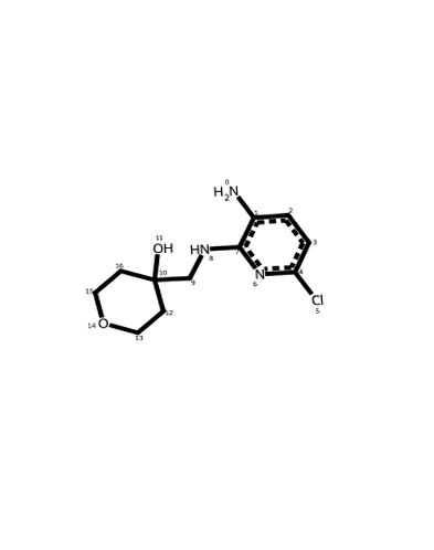 Nc1ccc(Cl)nc1NCC1(O)CCOCC1